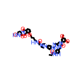 CCC(=O)Nc1ccc(CN2C(=O)N(c3cc(OC)cc(OC)c3)Cc3cnc(Nc4ccc(N5CCN(CC(=O)NCCCCCOc6cccc7c6C(=O)N(C6CCC(=O)NC6=O)C7=O)CC5)cc4)nc32)cc1